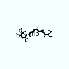 CC[C@H](OC)[C@@H](C)[C@H]1CC1[C@H](O)[C@@H](C)/C=C/C=C(\C)[C@H]1O[C@@H](OC)[C@H](OC)C[C@@H]1OC